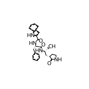 C#C[C@H](C[C@@H]1CCNC1=O)NC(=O)[C@H](Cc1ccccc1)NC(=O)c1cc2ccccc2[nH]1